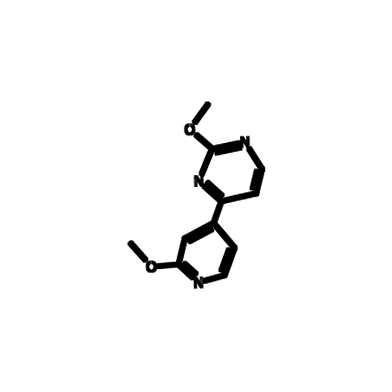 COc1cc(-c2ccnc(OC)n2)ccn1